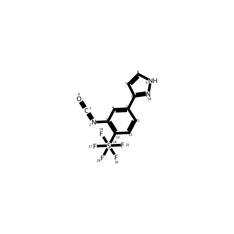 O=C=Nc1cc(-c2cc[nH]n2)ccc1S(F)(F)(F)(F)F